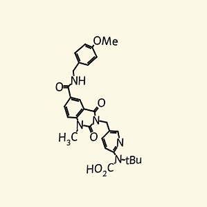 COc1ccc(CNC(=O)c2ccc3c(c2)c(=O)n(Cc2ccc(N(C(=O)O)C(C)(C)C)nc2)c(=O)n3C)cc1